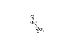 O=C(/C=C/c1ccc(Cl)c(C(F)(F)F)c1)N1CCC[C@H]1CN1CCCCC1